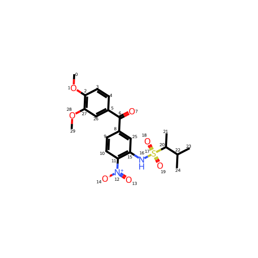 COc1ccc(C(=O)c2ccc([N+](=O)[O-])c(NS(=O)(=O)C(C)C(C)C)c2)cc1OC